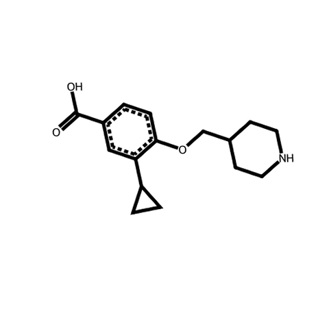 O=C(O)c1ccc(OCC2CCNCC2)c(C2CC2)c1